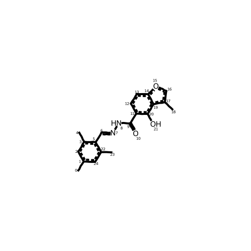 Cc1cc(C)c(/C=N/NC(=O)c2ccc3occ(C)c3c2O)c(C)c1